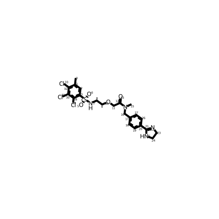 Cc1cc(S(=O)(=O)NCCOCC(=O)N(C)Cc2ccc(C3=NCCN3)cc2)c(Cl)c(Cl)c1Cl